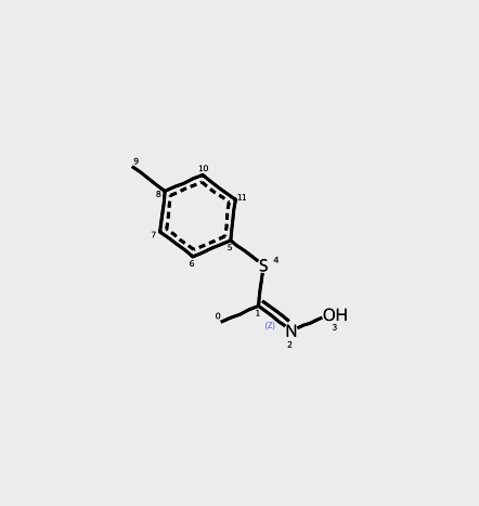 C/C(=N/O)Sc1ccc(C)cc1